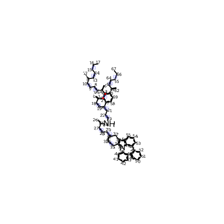 C=C(/C=C\C(=C)/C(C)=C/C=C\C(C)/C=C\C=C/C)\C=C/C(=C\C=C\NC(C)/C=C\C=C(/C)Cc1c(/C=C\C)n(-c2ccccc2)c2c(-c3ccccc3)cccc12)c1ccc(C(=C)/C=C\C=C/C)cc1